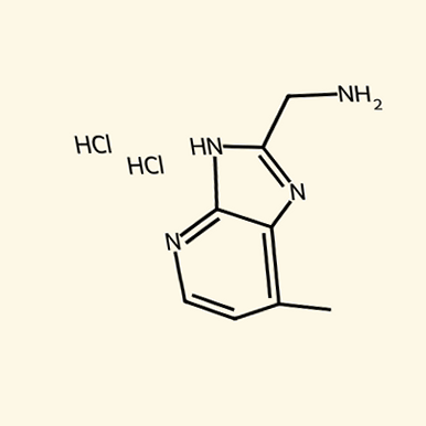 Cc1ccnc2[nH]c(CN)nc12.Cl.Cl